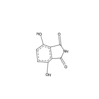 O=C1NC(=O)c2c(O)ccc(O)c21